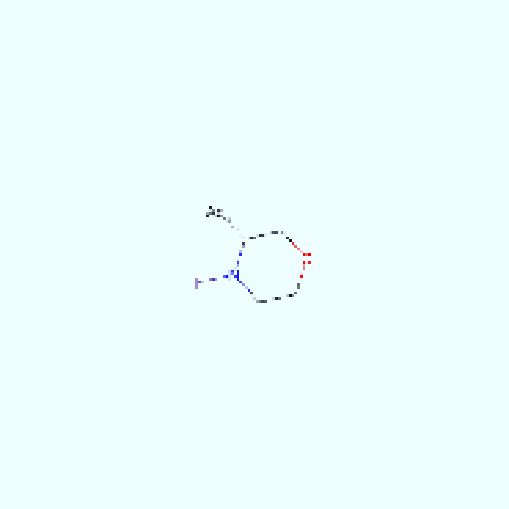 CC(=O)[C@@H]1COCCN1I